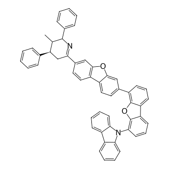 CC1C(c2ccccc2)N=C(c2ccc3c(c2)oc2cc(-c4cccc5c4oc4c(-n6c7ccccc7c7ccccc76)cccc45)ccc23)C[C@H]1c1ccccc1